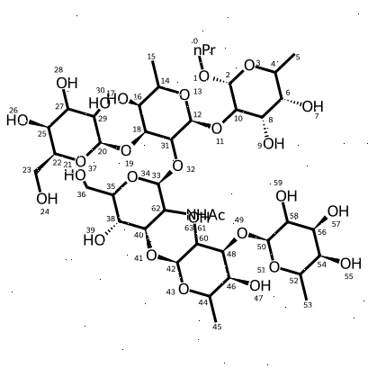 CCCO[C@@H]1OC(C)[C@H](O)[C@H](O)C1O[C@@H]1OC(C)[C@H](O)[C@H](O[C@H]2O[C@@H](CO)[C@@H](O)C(O)C2O)C1O[C@@H]1OC(CO)[C@@H](O)[C@H](O[C@@H]2OC(C)[C@H](O)[C@H](O[C@@H]3OC(C)[C@H](O)[C@H](O)C3O)C2O)C1NC(C)=O